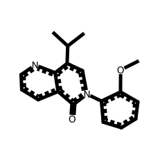 COc1ccccc1-n1cc(C(C)C)c2ncccc2c1=O